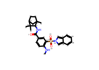 CNc1ccc(C(=O)NC2C3(C)CCC(C3)C2(C)C)cc1S(=O)(=O)n1cc2ccccc2c1